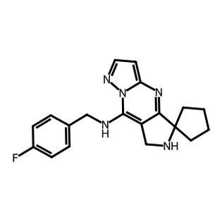 Fc1ccc(CNc2c3c(nc4ccnn24)C2(CCCC2)NC3)cc1